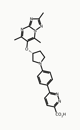 Cc1nc2nc(C)c(O[C@@H]3CCN(c4ccc(-c5ccc(C(=O)O)nn5)cc4)C3)c(C)n2n1